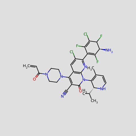 C=CC(=O)N1CCN(c2c(C#N)c(=O)n(C3=C(C)C=CN[C@@H]3C(C)C)c3nc(C4=C(F)[C@H](N)C(F)C(Cl)=C4F)c(Cl)cc23)CC1